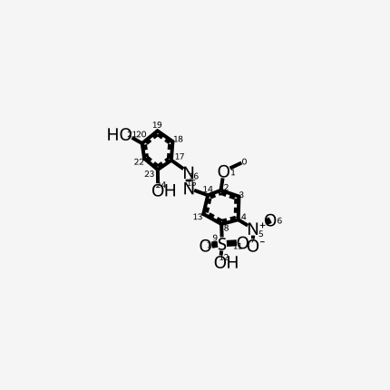 COc1cc([N+](=O)[O-])c(S(=O)(=O)O)cc1N=Nc1ccc(O)cc1O